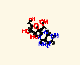 Nc1nc(C2(CO)O[C@H](CO)[C@@H](O)[C@H]2O)nc2[nH]cnc12